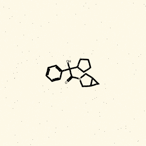 O=C(N1CC2[CH]C2C1)C(O)(c1ccccc1)C1CCCC1